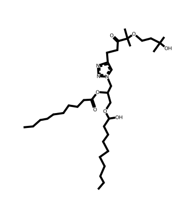 CCCCCCCCCC(=O)OC(COC(O)CCCCCCCCC)Cn1cc(CCC(=O)C(C)(C)OCCC(C)(C)O)nn1